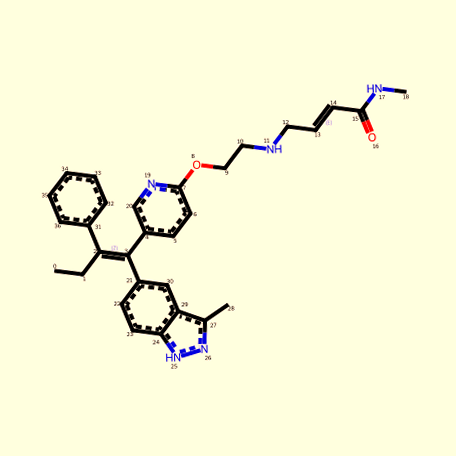 CC/C(=C(/c1ccc(OCCNC/C=C/C(=O)NC)nc1)c1ccc2[nH]nc(C)c2c1)c1ccccc1